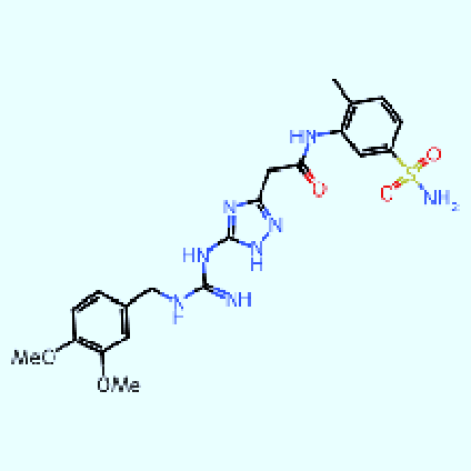 COc1ccc(CNC(=N)Nc2nc(CC(=O)Nc3cc(S(N)(=O)=O)ccc3C)n[nH]2)cc1OC